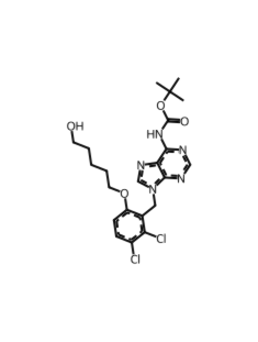 CC(C)(C)OC(=O)Nc1ncnc2c1ncn2Cc1c(OCCCCCO)ccc(Cl)c1Cl